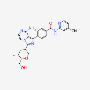 CC1CC(c2nc(-c3ccc(C(=O)Nc4cc(C#N)ccn4)cc3)c3c(N)nccn23)COC1CO